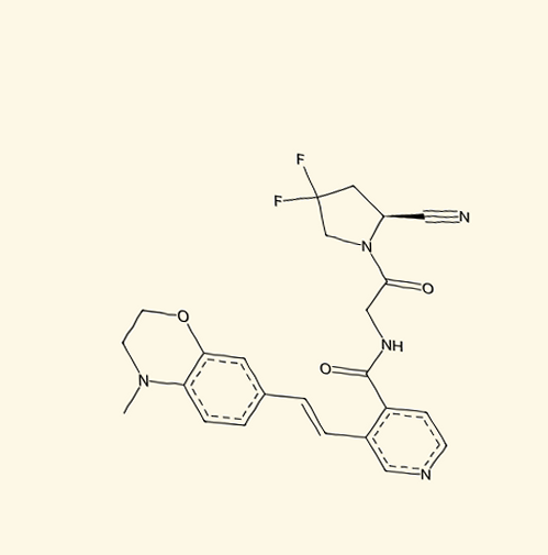 CN1CCOc2cc(/C=C/c3cnccc3C(=O)NCC(=O)N3CC(F)(F)C[C@H]3C#N)ccc21